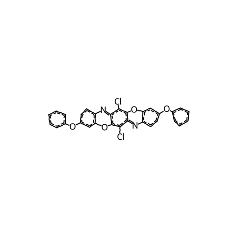 Clc1c2c(c(Cl)c3c1=Nc1ccc(Oc4ccccc4)cc1O3)=Nc1ccc(Oc3ccccc3)cc1O2